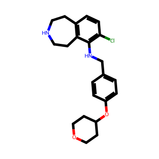 Clc1ccc2c(c1NCc1ccc(OC3CCOCC3)cc1)CCNCC2